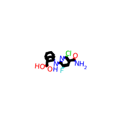 NC(=O)c1cc(F)c(NC2C3CCC(CC3)C2C(=O)O)nc1Cl